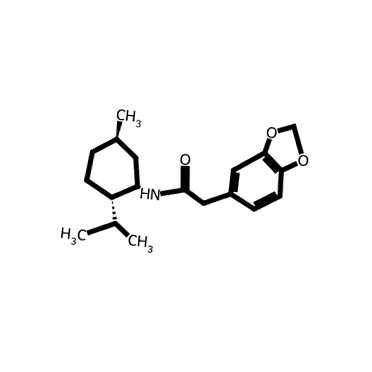 CC(C)[C@@H]1CC[C@@H](C)C[C@@H]1NC(=O)Cc1ccc2c(c1)OCO2